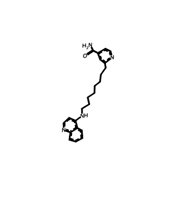 NC(=O)c1ccnc(CCCCCCCCNc2ccnc3ccccc23)c1